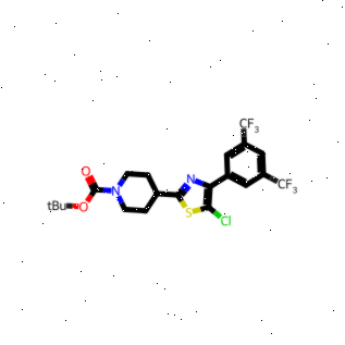 CC(C)(C)OC(=O)N1CCC(c2nc(-c3cc(C(F)(F)F)cc(C(F)(F)F)c3)c(Cl)s2)CC1